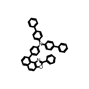 c1ccc(-c2ccc(N(c3ccc(-c4ccccc4)cc3)c3ccc(-c4cccc5ccc6oc(-c7ccccc7)nc6c45)cc3)cc2)cc1